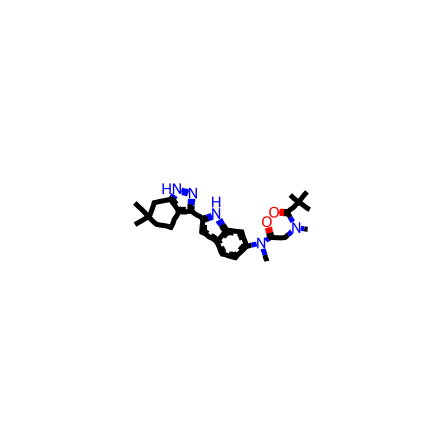 CN(CC(=O)N(C)c1ccc2cc(-c3n[nH]c4c3CCC(C)(C)C4)[nH]c2c1)C(=O)C(C)(C)C